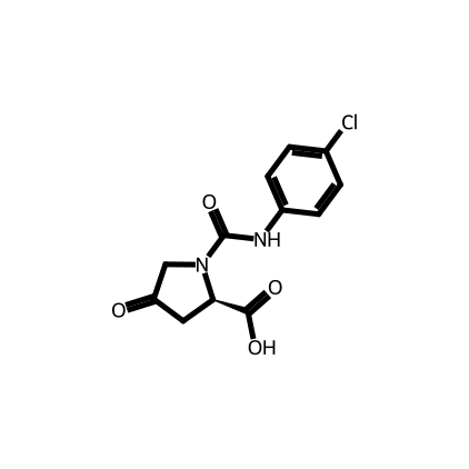 O=C1C[C@H](C(=O)O)N(C(=O)Nc2ccc(Cl)cc2)C1